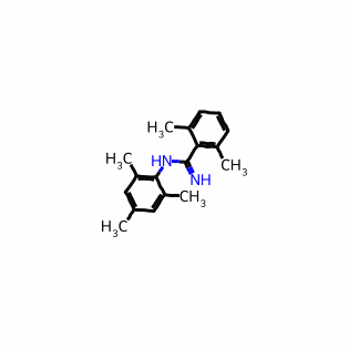 Cc1cc(C)c(NC(=N)c2c(C)cccc2C)c(C)c1